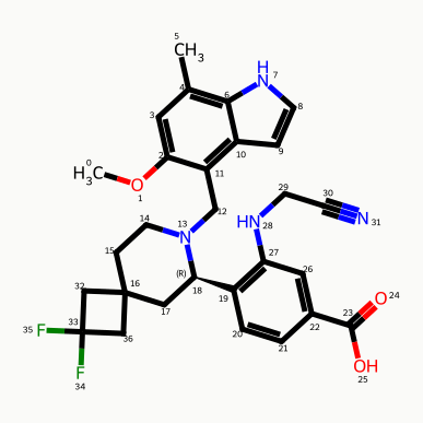 COc1cc(C)c2[nH]ccc2c1CN1CCC2(C[C@@H]1c1ccc(C(=O)O)cc1NCC#N)CC(F)(F)C2